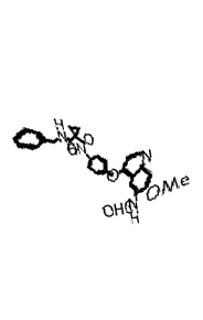 COc1cc2nccc(Oc3ccc(NC(=O)C4(C(=O)NCc5ccccc5)CC4)cc3)c2cc1NC=O